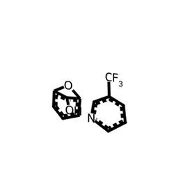 FC(F)(F)c1cccnc1.Oc1c2cccc1O2